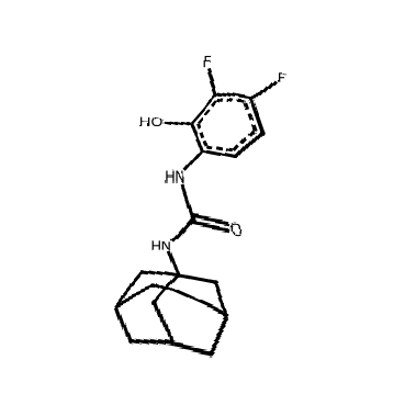 O=C(Nc1ccc(F)c(F)c1O)NC12CC3CC(CC(C3)C1)C2